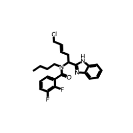 CCCCN(C(=O)c1cccc(F)c1F)C(C/C=C/CCl)c1nc2ccccc2[nH]1